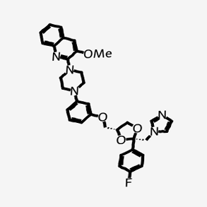 COc1cc2ccccc2nc1N1CCN(c2cccc(OC[C@@H]3CO[C@@](Cn4ccnc4)(c4ccc(F)cc4)O3)c2)CC1